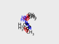 COc1cc2nccc(N3CCN(CCNS(=O)(=O)NC(=O)OC(C)(C)C)[C@H](C)C3)c2cc1OC